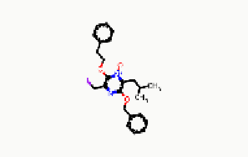 CC(C)Cc1c(OCc2ccccc2)nc(CI)c(OCCc2ccccc2)[n+]1[O-]